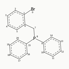 Brc1ccccc1CP(c1ccccc1)c1ccccc1